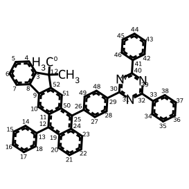 CC1(C)c2ccccc2-c2cc3c(-c4ccccc4)c4ccccc4c(-c4ccc(-c5nc(-c6ccccc6)nc(-c6ccccc6)n5)cc4)c3cc21